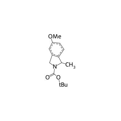 COc1ccc2c(c1)CN(C(=O)OC(C)(C)C)C2C